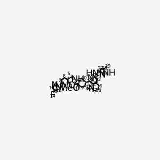 COC1(C(=O)N[C@@H](C)c2ccc(-n3cc(F)cn3)nc2)CCC(c2nc(Nc3cc(C)[nH]n3)cc3c2N(C)CCC3)CC1